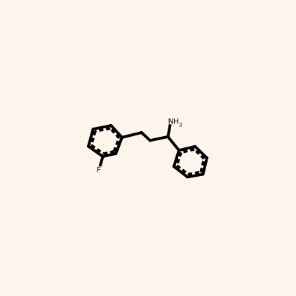 NC(C[CH]c1cccc(F)c1)c1ccccc1